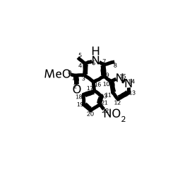 COC(=O)C1=C(C)NC(C)=C(c2cccnn2)C1c1cccc([N+](=O)[O-])c1